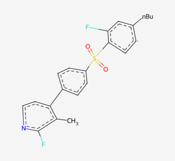 CCCCc1[c]cc(S(=O)(=O)c2ccc(-c3ccnc(F)c3C)cc2)c(F)c1